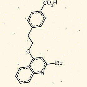 CCC(C)c1cc(OCCc2ccc(C(=O)O)cc2)c2ccccc2n1